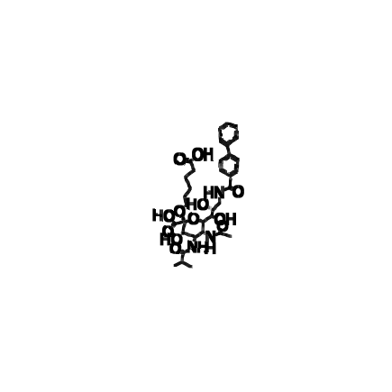 CC(=O)N[C@@H]1[C@@H](NC(=O)C(C)C)[C@H](O)[C@](OCCCCCC(=O)O)(C(=O)O)O[C@H]1[C@H](O)[C@H](O)CNC(=O)c1ccc(-c2ccccc2)cc1